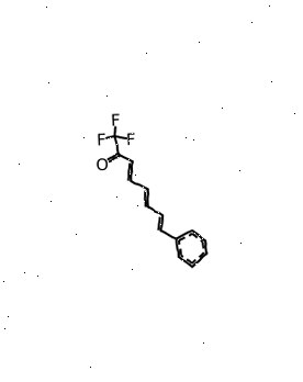 O=C(C=CC=CC=Cc1ccccc1)C(F)(F)F